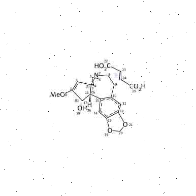 COC1=C[C@]23CCCN2CCc2cc4c(cc2[C@@H]3[C@@H]1O)OCO4.O=C(O)/C=C/C(=O)O